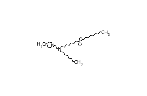 CCCCCCCCCOC(=O)CCCCCCCN(CCCCCCCC)CCN1CCN(C)CC1